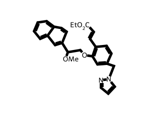 CCOC(=O)C=Cc1ccc(Cn2cccn2)cc1OCC(OC)c1ccc2ccccc2c1